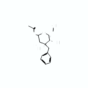 CC(=O)OC1O[C@H](CO)[C@@H](O)[C@@](O)(Cc2ccccc2)[C@@H]1O